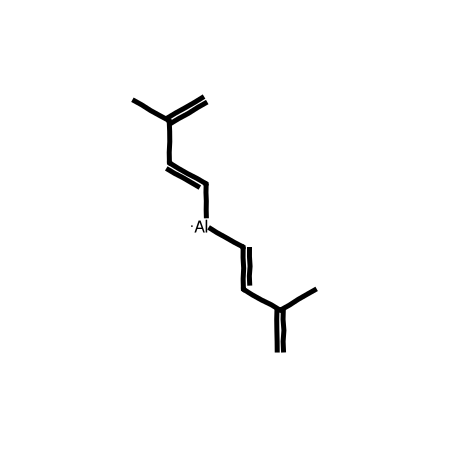 C=C(C)C=[CH][Al][CH]=CC(=C)C